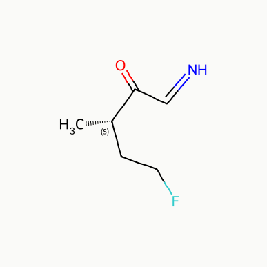 C[C@@H](CCF)C(=O)C=N